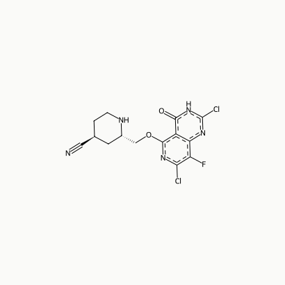 N#C[C@H]1CCN[C@H](COc2nc(Cl)c(F)c3nc(Cl)[nH]c(=O)c23)C1